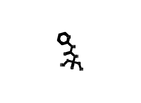 CCOP(=O)(NC(=O)Nc1ccccn1)SC(C)CC